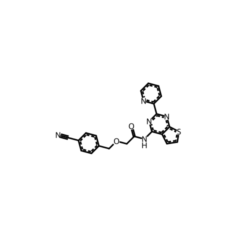 N#Cc1ccc(COCC(=O)Nc2nc(-c3ccccn3)nc3sccc23)cc1